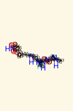 O=C1NC(=O)c2c(Oc3cccc(CCCCCNCC4CCC(n5cc(NC(=O)c6coc(-c7ccnc(NCC8CC8)c7)n6)c(C(F)F)n5)CC4)c3)cccc2C1=O